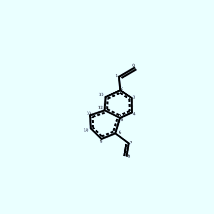 C=Cc1ccc2c(C=C)cccc2c1